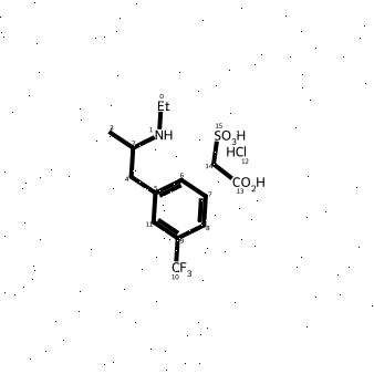 CCNC(C)Cc1cccc(C(F)(F)F)c1.Cl.O=C(O)CS(=O)(=O)O